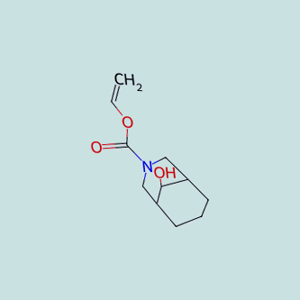 C=COC(=O)N1CC2CCCC(C1)C2O